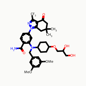 COc1cc(CN(c2cc(-n3nc(C(F)(F)F)c4c3CC(C)(C)CC4=O)ccc2C(N)=O)C2CCC(OCC(O)CO)CC2)cc(OC)c1